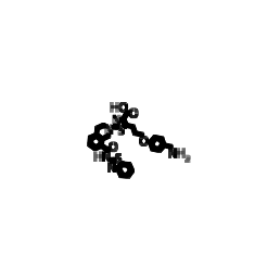 NCc1ccc(OCCCc2sc(N3CCc4cccc(C(=O)Nc5nc6ccccc6s5)c4C3)nc2C(=O)O)cc1